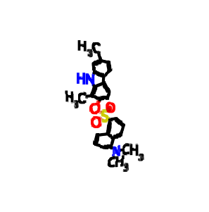 Cc1ccc2c(c1)[nH]c1c(C)c(OS(=O)(=O)c3cccc4c(N(C)C)cccc34)ccc12